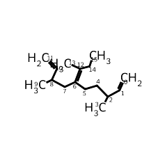 C=CC(C)CCC(CC(C)C=C)=C(C)CC